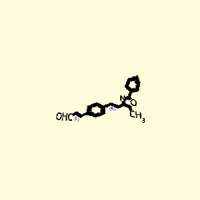 Cc1oc(-c2ccccc2)nc1/C=C/c1ccc(/C=C/C=O)cc1